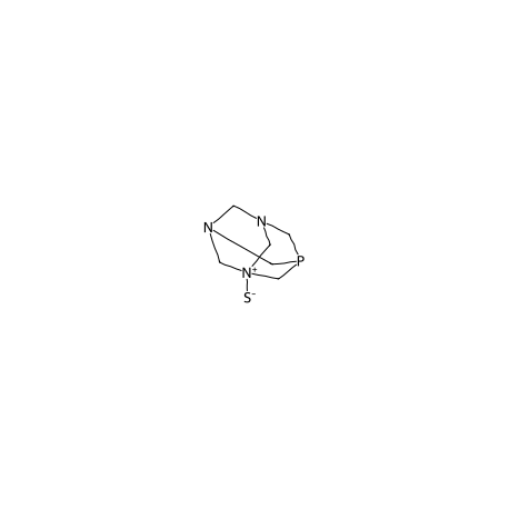 [S-][N+]12CN3CN(CP(C3)C1)C2